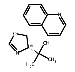 CC(C)(C)[C@H]1COC=N1.c1ccc2ncccc2c1